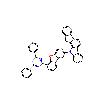 c1ccc(-c2nc(-c3ccccc3)nc(-c3cccc4c3oc3ccc(-n5c6ccccc6c6ccc7c(c65)Cc5ccccc5-7)cc34)n2)cc1